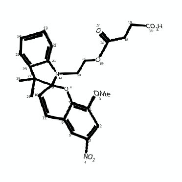 COc1cc([N+](=O)[O-])cc2c1OC1(C=C2)N(CCOC(=O)CCC(=O)O)c2ccccc2C1(C)C